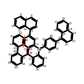 c1cc(-c2cccc3ccccc23)cc(N(c2ccc(-c3cccc4ccccc34)cc2)c2ccccc2-c2cc3ccccc3c3ccccc23)c1